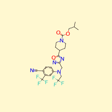 CC(C)COC(=O)N1CCC(c2nc(CN(CC(F)(F)F)c3ccc(C#N)c(C(F)(F)F)c3)no2)CC1